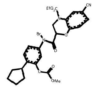 CCOC(=O)N1CC(C(=O)N(Br)c2ccc(C3CCCC3)c(OC(=O)OC)c2)Oc2ccc(C#N)cc21